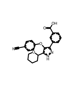 N#Cc1ccc(Oc2c(-c3cccc(C(=O)O)c3)n[nH]c2C2CCCCO2)cc1